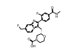 CNC(=O)c1ccc(-c2nc3cc(CF)ccn3c2C[C@H]2CN(C(=O)O)CCO2)c(F)c1